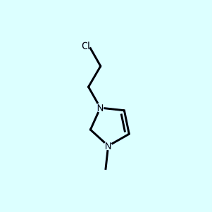 CN1C=CN(CCCl)C1